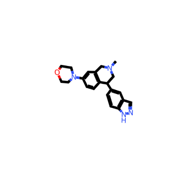 CN1Cc2cc(N3CCOCC3)ccc2C(c2ccc3[nH]ncc3c2)C1